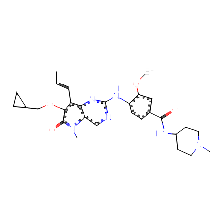 CC=Cc1c(OCC2CC2)c(=O)n(C)c2cnc(Nc3ccc(C(=O)NC4CCN(C)CC4)cc3OCC)nc12